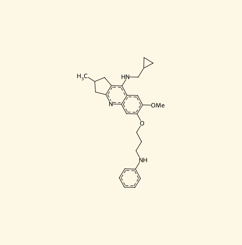 COc1cc2c(NCC3CC3)c3c(nc2cc1OCCCNc1ccccc1)CC(C)C3